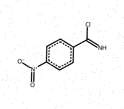 N=C(Cl)c1ccc([N+](=O)[O-])cc1